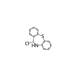 ClC1Nc2ccccc2Sc2ccccc21